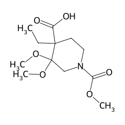 CCC1(C(=O)O)CCN(C(=O)OC)CC1(OC)OC